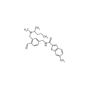 CCCC(C)N(C)Cc1cc(CNC(=O)c2cc3ccc(C)cc3s2)ccc1C=O